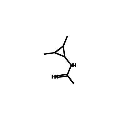 CC(=N)NC1C(C)C1C